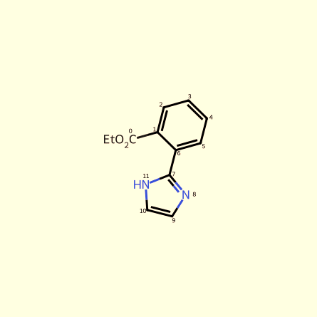 CCOC(=O)c1ccccc1-c1ncc[nH]1